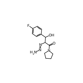 NN=NC(C(=O)N1CCCC1)C(O)c1ccc(F)cc1